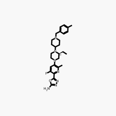 CC[C@H]1CN(c2cc(F)c(-c3nnc(N)o3)nc2C)CCN1C1CCN(Cc2ccc(C)cc2)CC1